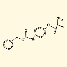 C[C@H](N)C(=O)Oc1ccc(NC(=O)OCc2ccccc2)cc1